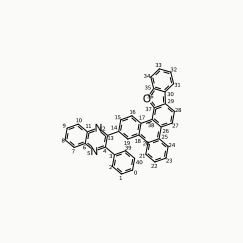 c1ccc(-c2nc3ccccc3nc2-c2ccc3c(c2)c2ccccc2c2ccc4c5ccccc5oc4c23)cc1